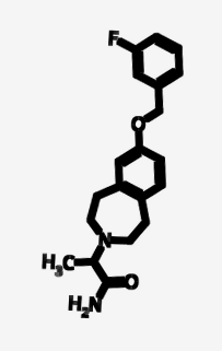 CC(C(N)=O)N1CCc2ccc(OCc3cccc(F)c3)cc2CC1